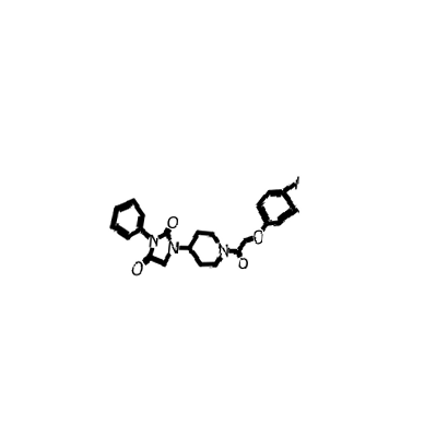 O=C(COc1ccc(I)cc1)N1CCC(N2CC(=O)N(c3ccccc3)C2=O)CC1